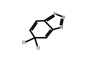 ClC1(Cl)C=CC2=NN=NC2=C1